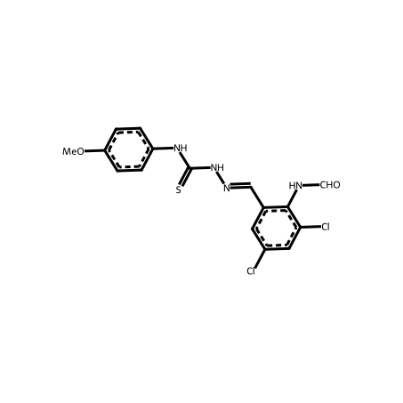 COc1ccc(NC(=S)N/N=C/c2cc(Cl)cc(Cl)c2NC=O)cc1